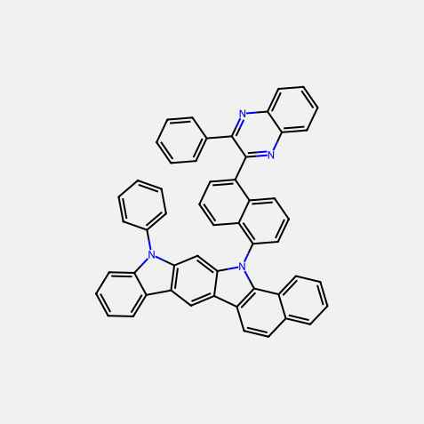 c1ccc(-c2nc3ccccc3nc2-c2cccc3c(-n4c5cc6c(cc5c5ccc7ccccc7c54)c4ccccc4n6-c4ccccc4)cccc23)cc1